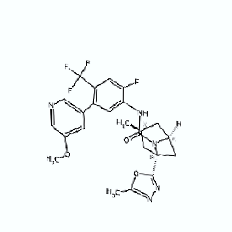 COc1cncc(-c2cc(NC(=O)N3[C@H]4C[C@H](C)C[C@]3(c3nnc(C)o3)C4)c(F)cc2C(F)(F)F)c1